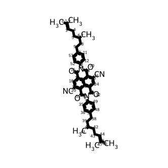 CC(C)=CCCC(C)CCc1ccc(N2C(=O)c3cc(C#N)c4c5c(cc(C#N)c(c35)C2=O)C(=O)N(c2ccc(CCC(C)CCC=C(C)C)cc2)C4=O)cc1